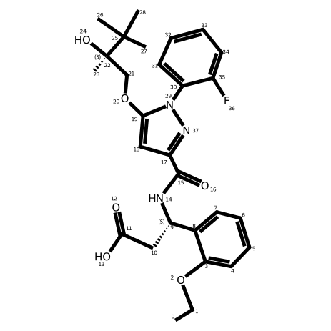 CCOc1ccccc1[C@H](CC(=O)O)NC(=O)c1cc(OC[C@@](C)(O)C(C)(C)C)n(-c2ccccc2F)n1